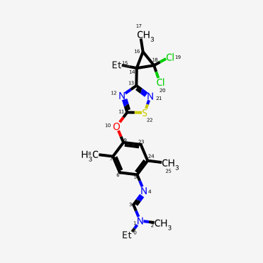 CCN(C)C=Nc1cc(C)c(Oc2nc(C3(CC)C(C)C3(Cl)Cl)ns2)cc1C